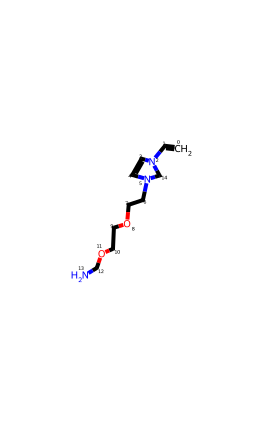 C=CN1C=CN(CCOCCOCN)C1